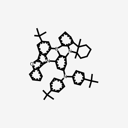 CC(C)(C)c1ccc(N(c2ccc(C(C)(C)C)cc2)c2cc3c4c(c2)-n2c5c(cc(C(C)(C)C)cc5c5oc6ccccc6c52)B4c2cccc4c2N3C2(C)CCCCC42C)cc1